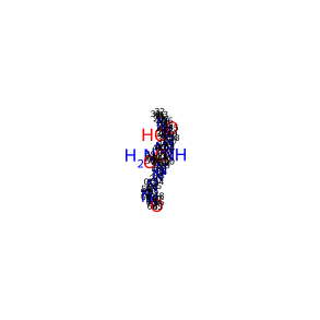 C[C@H]1CC(N2CCN(c3ccc(Nc4nc(N5CCCC(N6CCn7c(cc8c7CC(C)(C)C8)C6=O)C5CO)cn(C)c4=O)cc3C=CC(N)=O)[C@@H](C)C2)CCN1c1ccnc(N2CCOC[C@@H]2C)c1